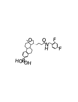 C[C@]12CCC3c4ccc(B(O)O)cc4CCC3C1[C@@H](CCCC(=O)NCc1ccc(F)cc1F)CO2